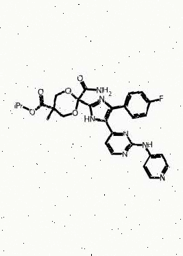 CC(C)OC(=O)C1(C)COC(C(N)=O)(c2nc(-c3ccc(F)cc3)c(-c3ccnc(Nc4ccncc4)n3)[nH]2)OC1